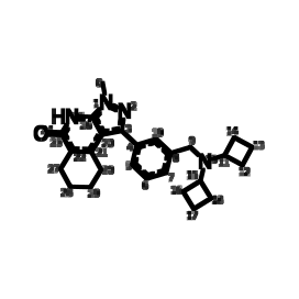 Cn1nc(-c2cccc(CN(C3CCC3)C3CCC3)c2)c2c3c(c(=O)[nH]c21)CCCC3